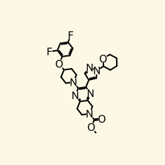 COC(=O)N1CCc2nc(N3CCC(Oc4ccc(F)cc4F)CC3)c(-c3cnn(C4CCCCO4)c3)nc2C1